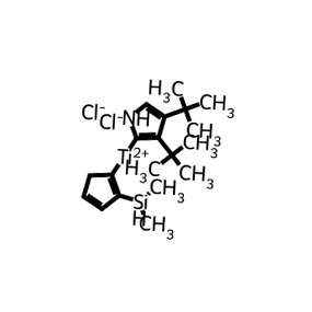 C[SiH](C)C1=[C]([Ti+2][c]2[nH]cc(C(C)(C)C)c2C(C)(C)C)CC=C1.[Cl-].[Cl-]